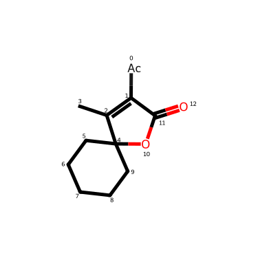 CC(=O)C1=C(C)C2(CCCCC2)OC1=O